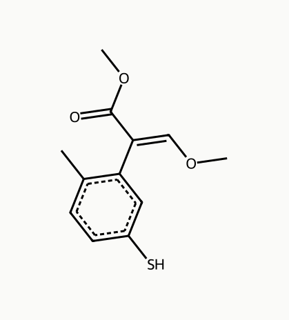 CO/C=C(/C(=O)OC)c1cc(S)ccc1C